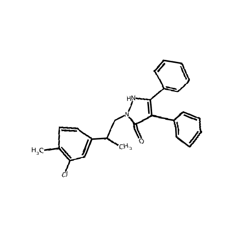 Cc1ccc(C(C)Cn2[nH]c(-c3ccccc3)c(-c3ccccc3)c2=O)cc1Cl